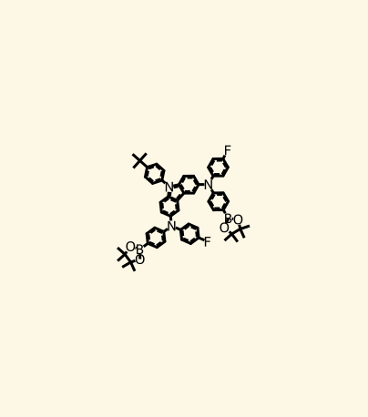 CC(C)(C)c1ccc(-n2c3ccc(N(c4ccc(F)cc4)c4ccc(B5OC(C)(C)C(C)(C)O5)cc4)cc3c3cc(N(c4ccc(F)cc4)c4ccc(B5OC(C)(C)C(C)(C)O5)cc4)ccc32)cc1